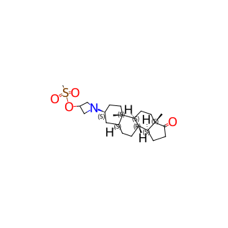 C[C@]12CC[C@H](N3CC(OS(C)(=O)=O)C3)C[C@@H]1CC[C@@H]1[C@@H]2CC[C@]2(C)C(=O)CC[C@@H]12